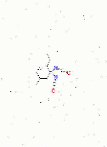 CC1CCC(C(C)C)C(N=C=O)(N=C=O)C1